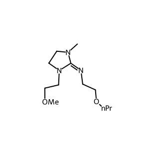 CCCOCC/N=C1/N(C)CCN1CCOC